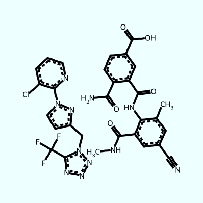 CNC(=O)c1cc(C#N)cc(C)c1NC(=O)c1cc(C(=O)O)ccc1C(N)=O.FC(F)(F)c1nnnn1Cc1ccn(-c2ncccc2Cl)n1